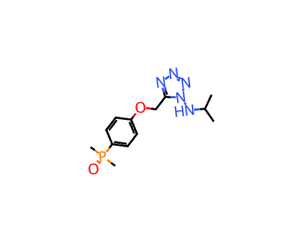 CC(C)Nn1nnnc1COc1ccc(P(C)(C)=O)cc1